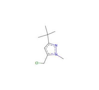 Cn1nc(C(C)(C)C)cc1CCl